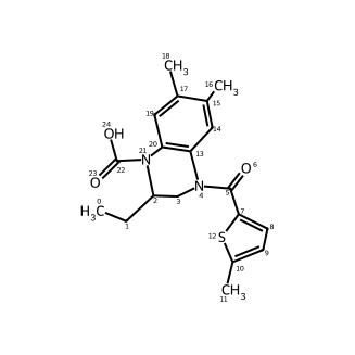 CCC1CN(C(=O)c2ccc(C)s2)c2cc(C)c(C)cc2N1C(=O)O